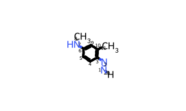 [2H]N=Nc1ccc(NC)cc1C